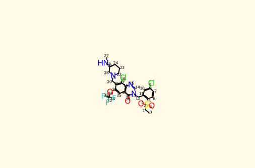 CCS(=O)(=O)c1ccc(Cl)cc1Cn1cnc2c(Cl)c(CN3CCC[C@H](NC)C3)c(OC(F)(F)F)cc2c1=O